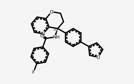 O=C(N[C@]1(c2ccc(-c3ccoc3)cc2)CCOc2cccnc21)c1ccc(F)cc1